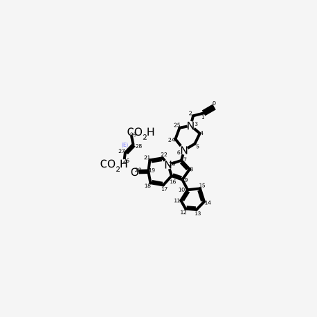 C#CCN1CCN(c2cc(-c3ccccc3)c3ccc(=O)ccn23)CC1.O=C(O)/C=C/C(=O)O